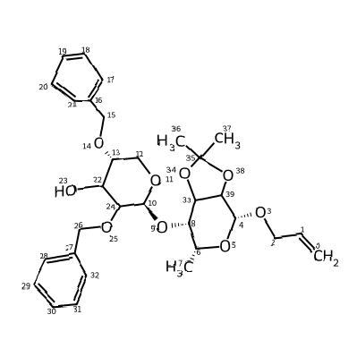 C=CCO[C@@H]1O[C@H](C)[C@H](O[C@@H]2OC[C@@H](OCc3ccccc3)C(O)C2OCc2ccccc2)C2OC(C)(C)OC21